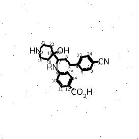 N#Cc1ccc(CCC(Nc2ccc(C(=O)O)cc2)C2(O)CCNCC2)cc1